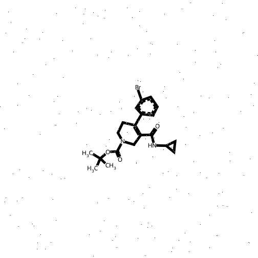 CC(C)(C)OC(=O)N1CCC(c2cccc(Br)c2)=C(C(=O)NC2CC2)C1